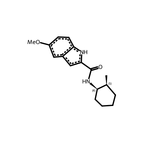 COc1ccc2[nH]c(C(=O)N[C@@H]3CCCC[C@@H]3C)cc2c1